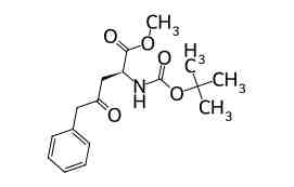 COC(=O)[C@H](CC(=O)Cc1ccccc1)NC(=O)OC(C)(C)C